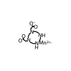 O=C([O-])CN1CCNCCNCCN(CC(=O)[O-])CC1.[Mn+2]